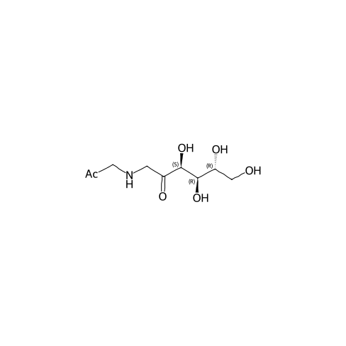 CC(=O)CNCC(=O)[C@@H](O)[C@H](O)[C@H](O)CO